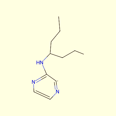 CCCC(CCC)Nc1[c]nccn1